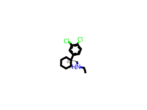 CCNC[C@@]1(c2ccc(Cl)c(Cl)c2)CCCC[C@H]1C